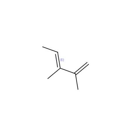 C=C(C)/C(C)=C/C